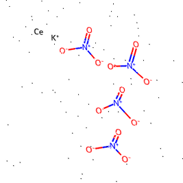 O=[N+]([O-])[O-].O=[N+]([O-])[O-].O=[N+]([O-])[O-].O=[N+]([O-])[O-].[Ce].[K+]